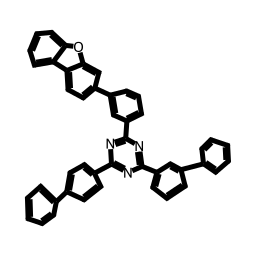 c1ccc(-c2ccc(-c3nc(-c4cccc(-c5ccccc5)c4)nc(-c4cccc(-c5ccc6c(c5)oc5ccccc56)c4)n3)cc2)cc1